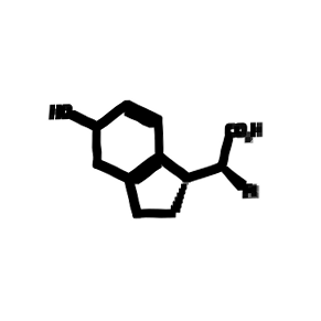 CC[C@H](C(=O)O)[C@@H]1CCC2=C1C=CC(O)C2